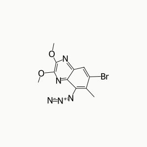 COc1nc2cc(Br)c(C)c(N=[N+]=[N-])c2nc1OC